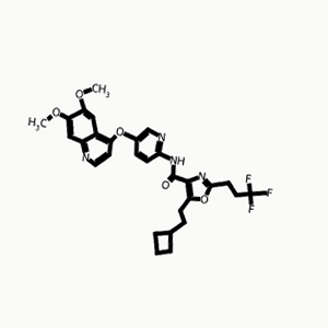 COc1cc2nccc(Oc3ccc(NC(=O)c4nc(CCC(F)(F)F)oc4CCC4CCC4)nc3)c2cc1OC